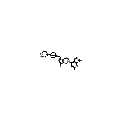 Cc1cc(N2CCc3c(c(C)nn3CC34CCC(N5CCO[C@@H](C)C5)(CC3)CC4)C2)c2cnn(C)c2n1